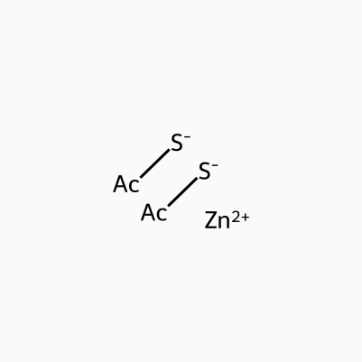 CC(=O)[S-].CC(=O)[S-].[Zn+2]